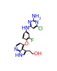 Nc1nc(Cl)cc(Nc2ccc(Oc3ccnc4[nH]cc(CCO)c34)c(F)c2)n1